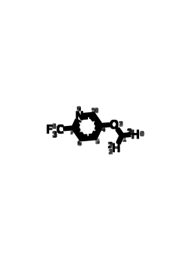 [2H]C([2H])Oc1ccc(C(F)(F)F)nc1